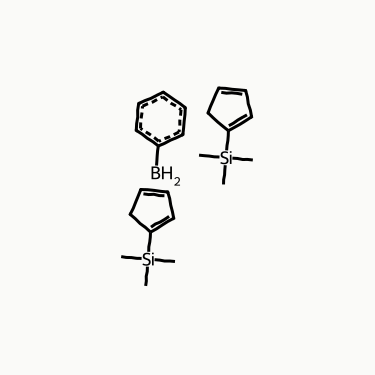 Bc1ccccc1.C[Si](C)(C)C1=CC=CC1.C[Si](C)(C)C1=CC=CC1